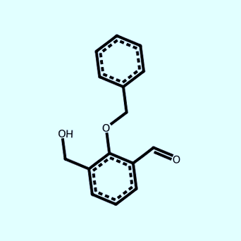 O=Cc1cccc(CO)c1OCc1ccccc1